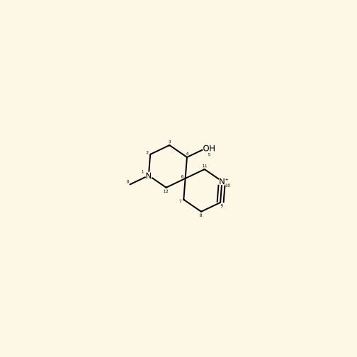 CN1CCC(O)C2(CCC#[N+]C2)C1